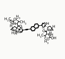 COC(=O)N[C@H](C(=O)[C@@]1(c2nc(C#Cc3ccc4cc(-c5c[nH]c([C@@H]6C[C@H]7C[C@H]7N6C(=O)[C@@H](NC(=O)O)C(C)C)n5)ccc4c3)c[nH]2)C[C@H]2C[C@H]2N1)C(C)C